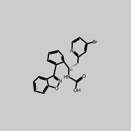 O=C(O)N[C@@H](Cc1cc(Br)ccn1)c1ccccc1-c1noc2ccccc12